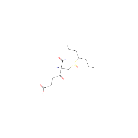 CCCC(CCC)S(=O)(=O)CC(N)(C(N)=O)C(=O)CCC(=O)O.Cl